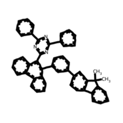 CC1(C)c2ccccc2-c2ccc(-c3cccc(-c4c(-c5nc(-c6ccccc6)nc(-c6ccccc6)n5)c5ccccc5c5ccccc45)c3)cc21